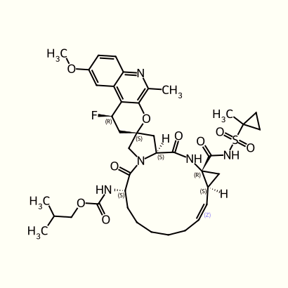 COc1ccc2nc(C)c3c(c2c1)[C@H](F)C[C@]1(C[C@H]2C(=O)N[C@]4(C(=O)NS(=O)(=O)C5(C)CC5)C[C@H]4/C=C\CCCCC[C@H](NC(=O)OCC(C)C)C(=O)N2C1)O3